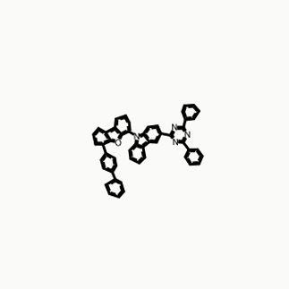 c1ccc(-c2ccc(-c3cccc4c3oc3c(-n5c6ccccc6c6cc(-c7nc(-c8ccccc8)nc(-c8ccccc8)n7)ccc65)cccc34)cc2)cc1